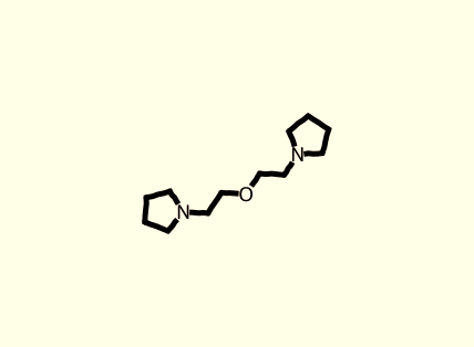 C1CCN(CCOCCN2CCCC2)C1